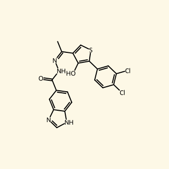 CC(=NNC(=O)c1ccc2[nH]cnc2c1)c1csc(-c2ccc(Cl)c(Cl)c2)c1O